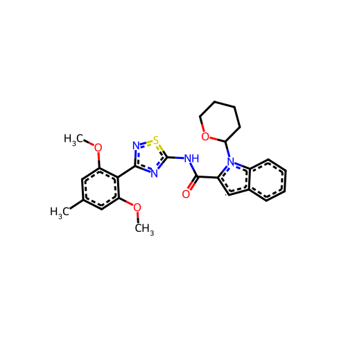 COc1cc(C)cc(OC)c1-c1nsc(NC(=O)c2[c]c3ccccc3n2C2CCCCO2)n1